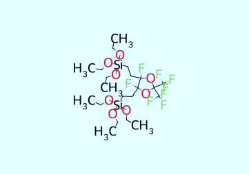 CCO[Si](CCC1(F)OC(C(F)(F)F)(C(F)(F)F)OC1(F)CC[Si](OCC)(OCC)OCC)(OCC)OCC